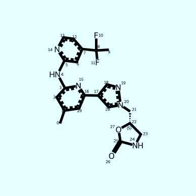 Cc1cc(Nc2cc(C(C)(F)F)ccn2)nc(-c2cnn(C[C@@H]3CNC(=O)O3)c2)c1